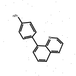 CCCc1ccc(-c2cccc3cccnc23)cc1